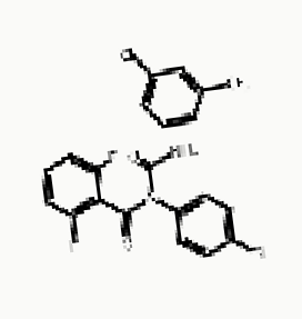 FC(F)(F)c1cccc(Cl)c1.NC(=O)N(C(=O)c1c(F)cccc1F)c1ccc(S)cc1